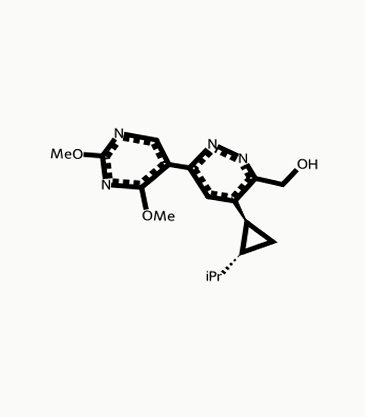 COc1ncc(-c2cc([C@H]3C[C@@H]3C(C)C)c(CO)nn2)c(OC)n1